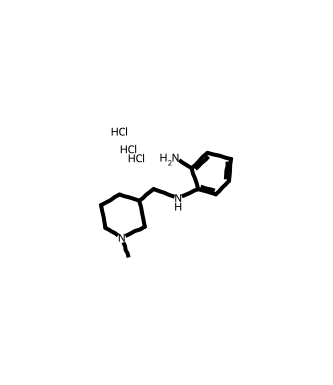 CN1CCCC(CNc2ccccc2N)C1.Cl.Cl.Cl